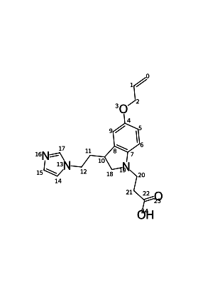 C=CCOc1ccc2c(c1)C(CCn1ccnc1)CN2CCC(=O)O